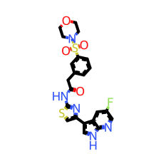 O=C(Cc1cccc(S(=O)(=O)N2CCOCC2)c1)Nc1nc(-c2c[nH]c3ncc(F)cc23)cs1